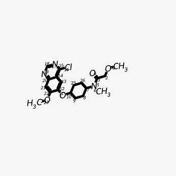 COCC(=O)N(C)C1CCC(Oc2cc3c(Cl)ncnc3cc2OC)CC1